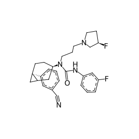 N#Cc1cccc([C@]23CC[C@@H](N(CCCN4CC[C@@H](F)C4)C(=O)Nc4cccc(F)c4)CC2C3)c1